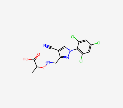 CC(ONCc1nn(-c2c(Cl)cc(Cl)cc2Cl)cc1C#N)C(=O)O